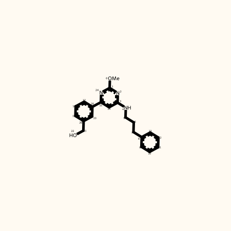 COc1nc(NCCCc2ccccc2)cc(-c2cccc(CO)c2)n1